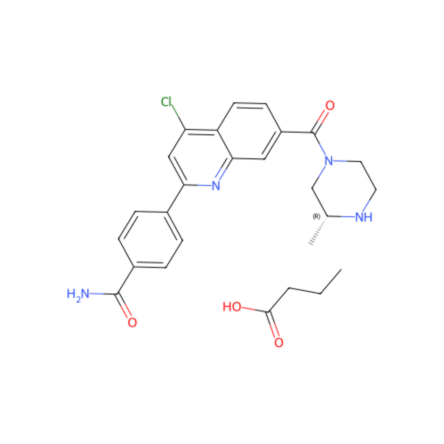 CCCC(=O)O.C[C@@H]1CN(C(=O)c2ccc3c(Cl)cc(-c4ccc(C(N)=O)cc4)nc3c2)CCN1